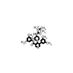 Cc1cc(C)cc(NC(=O)c2cncc(-c3cc(C)cc(C)c3)c2N2CCC(NC(=O)OC(C)(C)C)CC2)c1